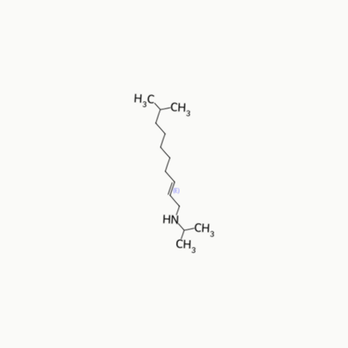 CC(C)CCCCC/C=C/CNC(C)C